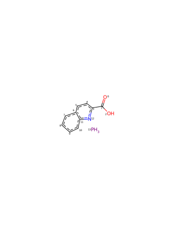 O=C(O)c1ccc2ccccc2n1.P